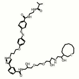 CC(C)C(=O)NCCNC(=O)c1ccc(/N=N/c2ccc(OCCCn3cc(-c4cccc(C(=O)NCC(O)COCCOCC(O)CNCC(O)C5CCCCCCCCC5)c4)nn3)cc2)cc1